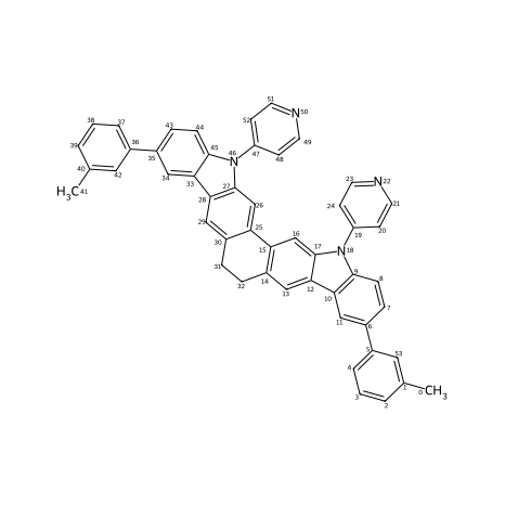 Cc1cccc(-c2ccc3c(c2)c2cc4c(cc2n3-c2ccncc2)-c2cc3c(cc2CC4)c2cc(-c4cccc(C)c4)ccc2n3-c2ccncc2)c1